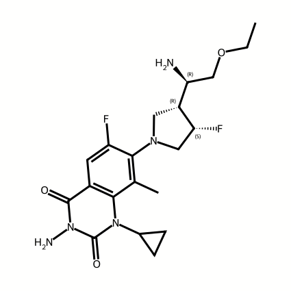 CCOC[C@H](N)[C@H]1CN(c2c(F)cc3c(=O)n(N)c(=O)n(C4CC4)c3c2C)C[C@H]1F